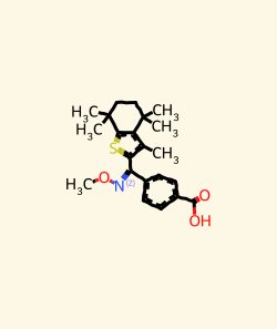 CO/N=C(/c1ccc(C(=O)O)cc1)c1sc2c(c1C)C(C)(C)CCC2(C)C